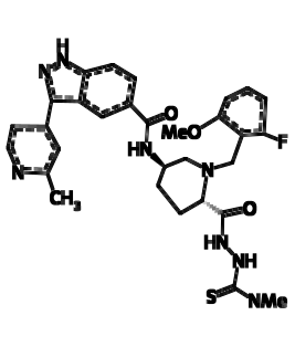 CNC(=S)NNC(=O)[C@@H]1CC[C@@H](NC(=O)c2ccc3[nH]nc(-c4ccnc(C)c4)c3c2)CN1Cc1c(F)cccc1OC